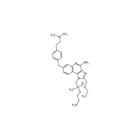 CCOCc1nc2c(N)nc3cc(Cc4ccc(CCN(C)C)cc4)ccc3c2n1CC(C)(C)OCCN